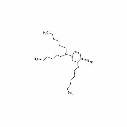 CCCCCCOC1C=C(N(CCCCCC)CCCCCC)C=CC1=[N+]=[N-]